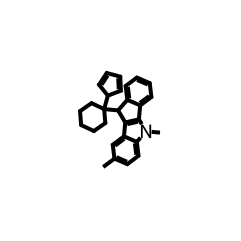 Cc1ccc2c(c1)c1c(n2C)-c2ccccc2C1C1(C2C=CC=C2)CCCCC1